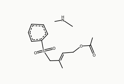 CC(=O)OCC=C(C)CS(=O)(=O)c1ccccc1.CNC